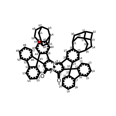 O=c1c2c(n3c4c(c(=O)n13)C1(c3ccccc3-c3ccccc31)c1cc3c(cc1-4)C1CC4CC5CC3CC45C1)-c1cc3c(cc1C21c2ccccc2-c2ccccc21)C1CC2CC(CC3C2)C1